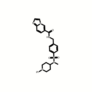 CC(C)N1CCC(N(C)S(=O)(=O)c2ccc(CNC(=O)c3ccc4nccn4c3)cc2)CC1